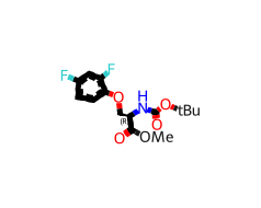 COC(=O)[C@@H](COc1ccc(F)cc1F)NC(=O)OC(C)(C)C